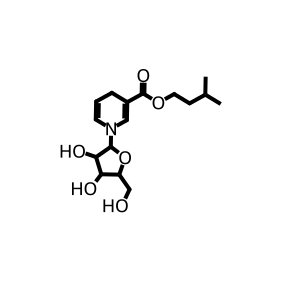 CC(C)CCOC(=O)C1=CN(C2OC(CO)C(O)C2O)C=CC1